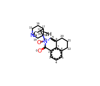 O=C1c2cccc3c2C(=C[N+]1([O-])[C@@H]1CN2CCC1CC2)CCC3